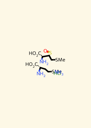 CSCC[C@H](N)C(=O)O.CSCC[C@H](N)C(=O)O.Cl.N.O=S